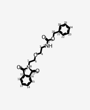 O=C(NCCOCCN1C(=O)c2ccccc2C1=O)OCc1ccccc1